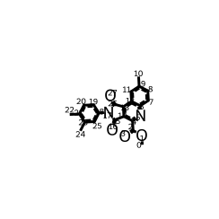 COC(=O)c1nc2ccc(C)cc2c2c1C(=O)N(c1ccc(C)c(C)c1)C2=O